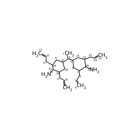 C=CCC1CC(C(C)C2CC(CC=C)C(N)C(CC=C)C2)CC(CC=C)C1N